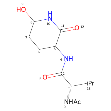 CC(=O)N[C@H](C(=O)NC1CCC(O)NC1=O)C(C)C